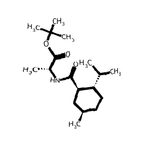 CC(C)[C@@H]1CC[C@@H](C)C[C@H]1C(=O)N[C@H](C)C(=O)OC(C)(C)C